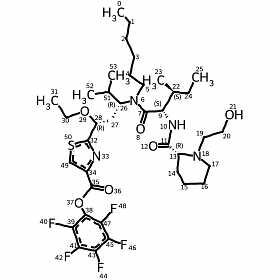 CCCCCCN(C(=O)[C@@H](NC(=O)[C@H]1CCCCN1CCO)[C@@H](C)CC)[C@H](C[C@@H](OCC)c1nc(C(=O)Oc2c(F)c(F)c(F)c(F)c2F)cs1)C(C)C